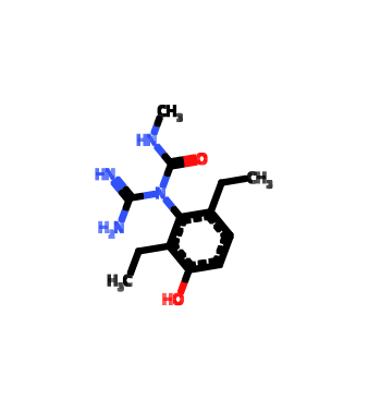 CCc1ccc(O)c(CC)c1N(C(=N)N)C(=O)NC